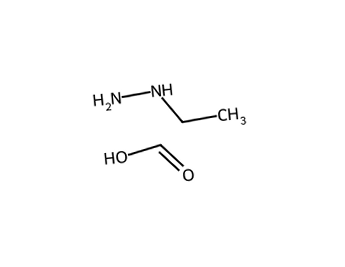 CCNN.O=CO